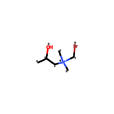 CC(O)C[N+](C)(C)CBr